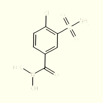 CN(C)C(=O)c1ccc(Cl)c(S(N)(=O)=O)c1